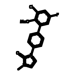 COc1c(Cl)cc(F)cc1-c1ccc(-n2ccn(C)c2=O)cc1